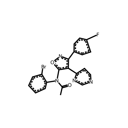 CC(=O)N(c1ccccc1Br)c1onc(-c2ccc(F)cc2)c1-c1ccncn1